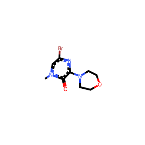 Cn1cc(Br)nc(N2CCOCC2)c1=O